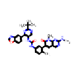 CNc1ncc2cc(-c3cc(NC(=O)Nc4cnc(C(C)(C)C)nc4-c4ccc5ocnc5c4)ccc3C)c(=O)n(C)c2n1